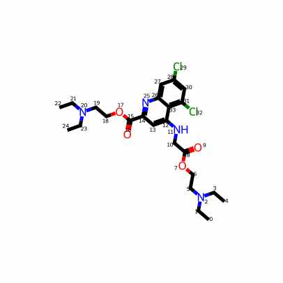 CCN(CC)CCOC(=O)CNc1cc(C(=O)OCCN(CC)CC)nc2cc(Cl)cc(Cl)c12